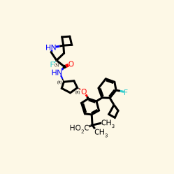 CC(C)(C(=O)O)c1ccc(O[C@@H]2CC[C@@H](NC(=O)[C@@]3(F)CNC4(CCC4)C3)C2)c(-c2cccc(F)c2C2CCC2)c1